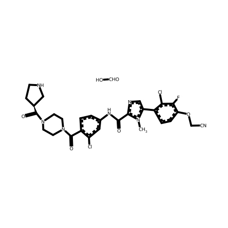 Cn1c(-c2ccc(OCC#N)c(F)c2Cl)cnc1C(=O)Nc1ccc(C(=O)N2CCN(C(=O)[C@H]3CCNC3)CC2)c(Cl)c1.O=CO